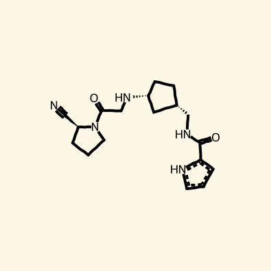 N#C[C@@H]1CCCN1C(=O)CN[C@@H]1CC[C@H](CNC(=O)c2ccc[nH]2)C1